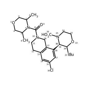 CC1COCC(C)N1C(=O)N1CCc2cc(Cl)cc([C@@H]3C(C(C)(C)C)OCCN3C(=O)O)c2C1